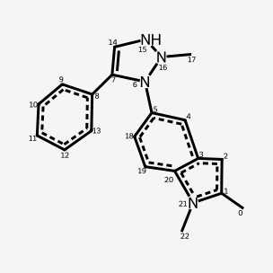 Cc1cc2cc(N3C(c4ccccc4)=CNN3C)ccc2n1C